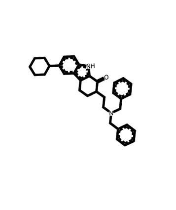 O=C1c2[nH]c3ccc(C4CCCCC4)cc3c2CCC1CCN(Cc1ccccc1)Cc1ccccc1